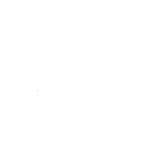 C[C@@H](CO)c1ccc(C(F)(F)F)nc1